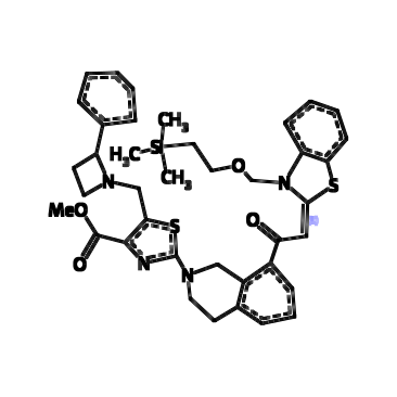 COC(=O)c1nc(N2CCc3cccc(C(=O)/C=C4/Sc5ccccc5N4COCC[Si](C)(C)C)c3C2)sc1CN1CCC1c1ccccc1